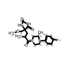 COCC1(CC(C)C(=O)N2CCN(c3ccc(F)cc3)[C@@H](C)C2)NC(=O)NC1=O